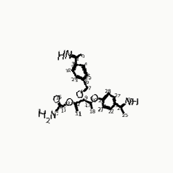 CC(=N)c1ccc(COC(C(C)OCC(N)=O)C(C)Oc2ccc(C(C)=N)cc2)cc1